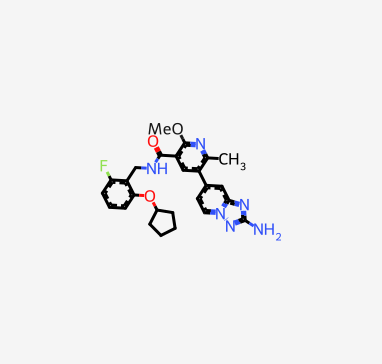 COc1nc(C)c(-c2ccn3nc(N)nc3c2)cc1C(=O)NCc1c(F)cccc1OC1CCCC1